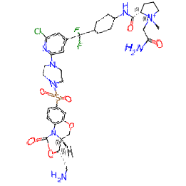 C[N@+]1(CC(N)=O)CCC[C@H]1C(=O)NC1CCC(C(F)(F)c2cc(Cl)nc(N3CCN(S(=O)(=O)c4ccc5c(c4)OC[C@@H]4[C@H](CN)OC(=O)N54)CC3)c2)CC1